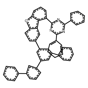 C1=CC(c2nc(-c3ccccc3)nc(-c3cccc4oc5ccc(-c6cc(-c7ccccc7)cc(-c7cccc(-c8ccccc8)c7)c6)cc5c34)n2)=CCC1